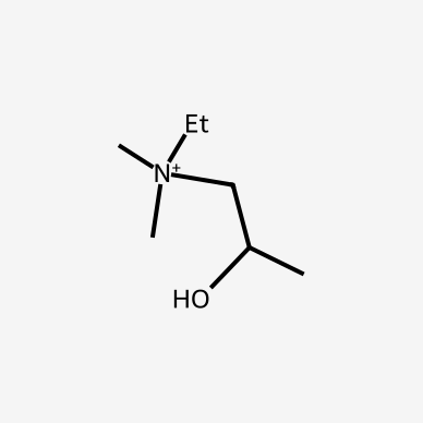 [CH2]C[N+](C)(C)CC(C)O